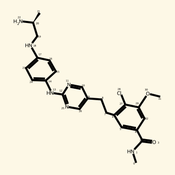 CNC(=O)c1cc(CCc2cnc(Nc3ccc(NC[C@H](C)N)cc3)nc2)c(Cl)c(OC)c1